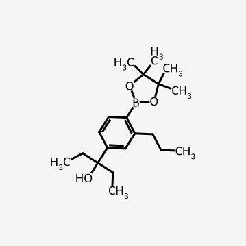 CCCc1cc(C(O)(CC)CC)ccc1B1OC(C)(C)C(C)(C)O1